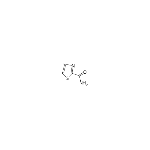 NC(=O)c1n[c]cs1